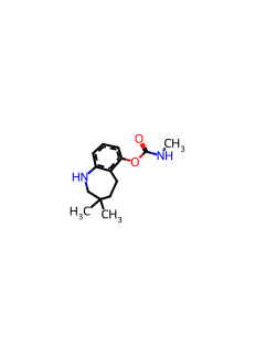 CNC(=O)Oc1cccc2c1CCC(C)(C)CN2